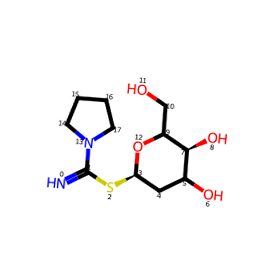 N=C(S[C@@H]1CC(O)[C@H](O)C(CO)O1)N1CCCC1